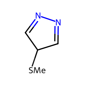 CSC1C=NN=C1